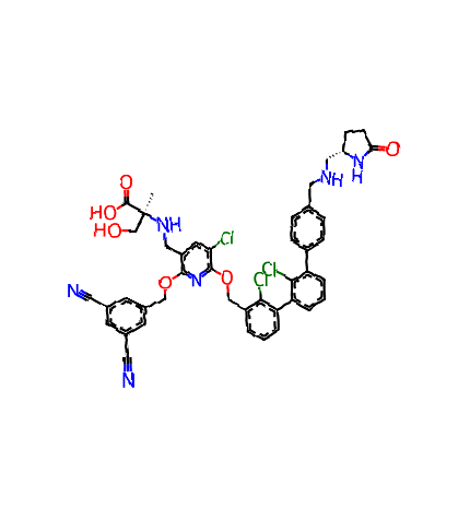 C[C@@](CO)(NCc1cc(Cl)c(OCc2cccc(-c3cccc(-c4ccc(CNC[C@@H]5CCC(=O)N5)cc4)c3Cl)c2Cl)nc1OCc1cc(C#N)cc(C#N)c1)C(=O)O